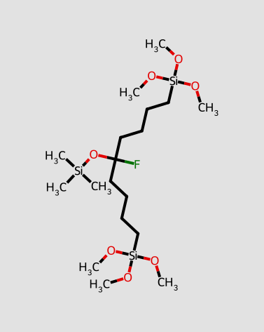 CO[Si](CCCCC(F)(CCCC[Si](OC)(OC)OC)O[Si](C)(C)C)(OC)OC